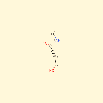 CC(C)NC(=O)C#CCO